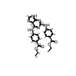 CCOC(=O)c1ccc(Nc2nc(Nc3ccc(C(=O)OCC)cc3)c3nc[nH]c3n2)cc1